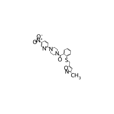 Cc1cc(CSc2ccccc2C(=O)N2CCN(c3ccc([N+](=O)[O-])cn3)CC2)on1